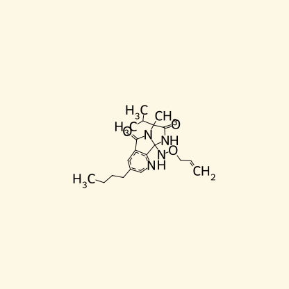 C=CCONC12NC(=O)C(C)(C(C)C)N1C(=O)c1cc(CCCC)cnc12